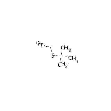 [CH2]C(C)(C)SCC(C)C